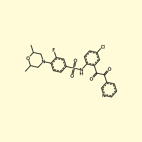 CC1CN(c2ccc(S(=O)(=O)Nc3ccc(Cl)cc3C(=O)C(=O)c3cccnc3)cc2F)CC(C)O1